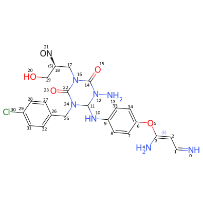 N=C/C=C(\N)Oc1ccc(NC2N(N)C(=O)N(C[C@@H](CO)N=O)C(=O)N2Cc2ccc(Cl)cc2)cc1